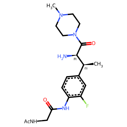 CC(=O)NCC(=O)Nc1ccc([C@H](C)[C@@H](N)C(=O)N2CCN(C)CC2)cc1F